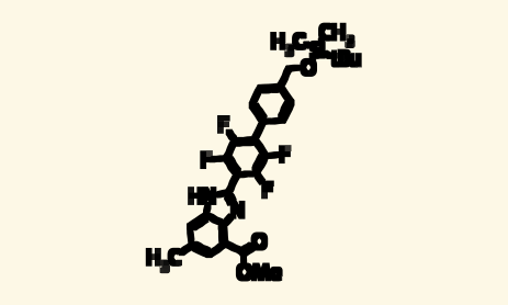 COC(=O)c1cc(C)cc2[nH]c(-c3c(F)c(F)c(-c4ccc(CO[Si](C)(C)C(C)(C)C)cc4)c(F)c3F)nc12